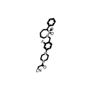 N#CCC(=O)N1CCN(c2ccc(CN3CCCCC(c4ccccc4)S3(=O)=O)c(F)c2)CC1